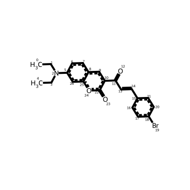 CCN(CC)c1ccc2cc(C(=O)C=Cc3ccc(Br)cc3)c(=O)oc2c1